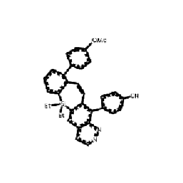 CC[Si]1(CC)c2cccc(-c3ccc(OC)cc3)c2C=Cc2c1cc1ccnnc1c2-c1ccc(C#N)cc1